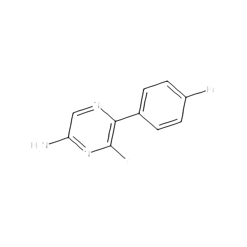 Nc1cnc(-c2ccc(Br)cc2)c(Cl)n1